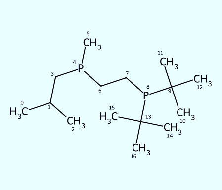 CC(C)CP(C)CCP(C(C)(C)C)C(C)(C)C